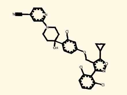 N#Cc1ccnc(N2CCC(O)(c3ccc(OCc4c(-c5c(Cl)cccc5Cl)noc4C4CC4)cc3Cl)CC2)c1